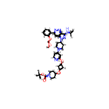 COCOc1ccccc1-c1cc2c(nn1)c(NC(C)C)nn2C1CCN(c2ccnc(OC3CC(OC4CCN(C(=O)OC(C)(C)C)CC4)C3)c2)CC1